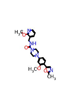 COc1cc(N2CCN(C(=O)NCc3cccnc3OC)CC2)ccc1-c1cnc(C)o1